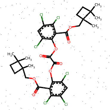 CC1(C)CCC1(C)COC(=O)c1c(Cl)c(Cl)cc(Cl)c1OC(=O)C(=O)Oc1c(Cl)cc(Cl)c(Cl)c1C(=O)OCC1(C)CCC1(C)C